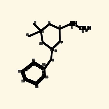 CC1(C)CC(NC(=O)O)CN(Cc2ccccc2)C1